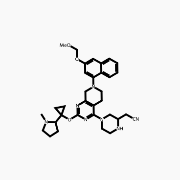 COCOc1cc(N2CCc3c(nc(OC4(C5CCCN5C)CC4)nc3N3CCNC(CC#N)C3)C2)c2ccccc2c1